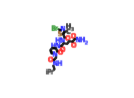 Cc1nc(Br)sc1C(=O)NC(CCC(=O)C(N)=O)C(=O)Nc1cccn(CC(=O)NCCC(C)C)c1=O